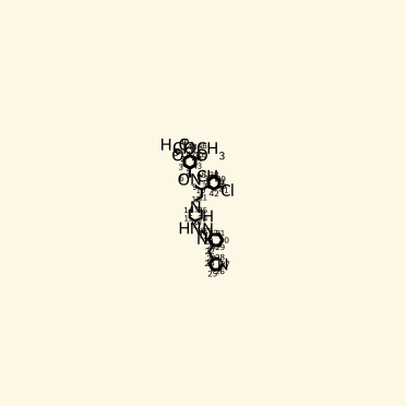 COc1cc(C(=O)N(C)CC(CCN2CCC(Nc3nc4c(Cc5cccnc5)cccc4[nH]3)CC2)c2cccc(Cl)c2)cc(OC)c1OC